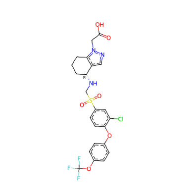 O=C(O)Cn1ncc2c1CCC[C@H]2NCS(=O)(=O)c1ccc(Oc2ccc(OC(F)(F)F)cc2)c(Cl)c1